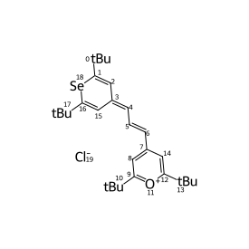 CC(C)(C)C1=CC(=CC=Cc2cc(C(C)(C)C)[o+]c(C(C)(C)C)c2)C=C(C(C)(C)C)[Se]1.[Cl-]